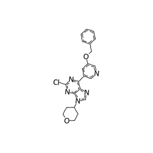 Clc1nc(-c2cncc(OCc3ccccc3)c2)c2ncn(C3CCOCC3)c2n1